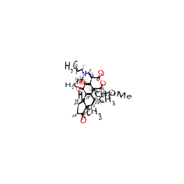 C=CCN(/C=C1/C(=O)O[C@H](COC)[C@@]2(C)C1=C(O)C(=O)C1=C2[C@H](C)C[C@]2(C)C(=O)CC[C@@H]12)CC=C